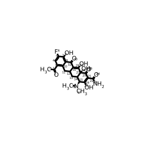 CC(=O)c1cc(F)c(O)c2c1CC1CC3C(N(C)C)C(O)=C(C(N)=O)C(=O)C3(O)C(O)=C1C2=O